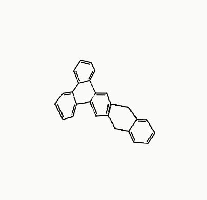 c1ccc2c(c1)Cc1cc3c4ccccc4c4ccccc4c3cc1C2